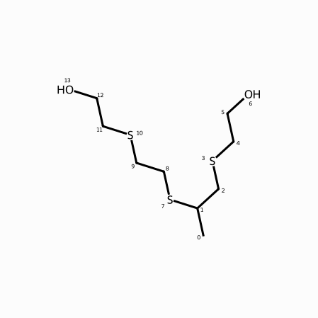 CC(CSCCO)SCCSCCO